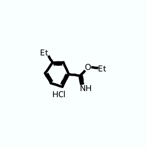 CCOC(=N)c1cccc(CC)c1.Cl